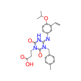 C=Cc1cc(/N=c2\[nH]c(=O)n(CCC(=O)O)c(=O)n2Cc2ccc(C)cc2)ccc1OC(C)C